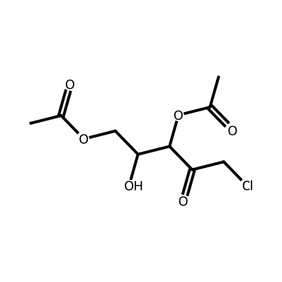 CC(=O)OCC(O)C(OC(C)=O)C(=O)CCl